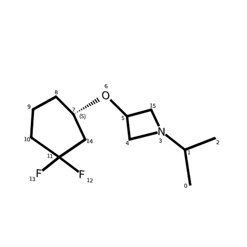 CC(C)N1CC(O[C@H]2CCCC(F)(F)C2)C1